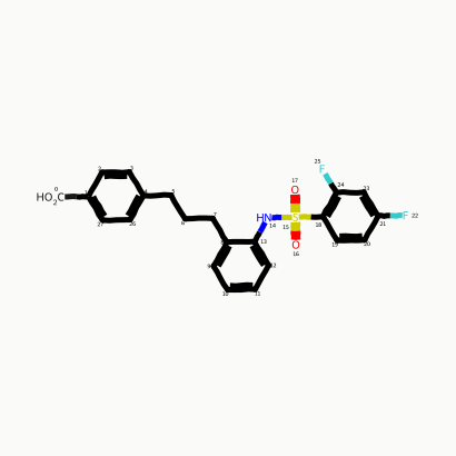 O=C(O)c1ccc(CCCc2ccccc2NS(=O)(=O)c2ccc(F)cc2F)cc1